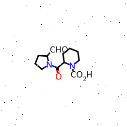 O=CC1CCCN1C(=O)C1CCCCN1C(=O)O